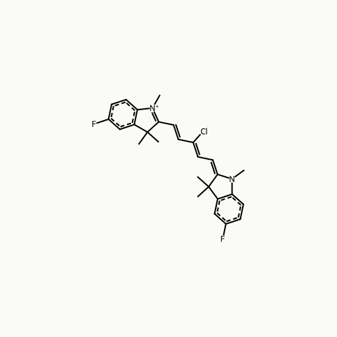 CN1/C(=C/C=C(Cl)/C=C/C2=[N+](C)c3ccc(F)cc3C2(C)C)C(C)(C)c2cc(F)ccc21